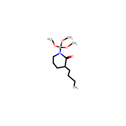 CCCCC1CCCN([Si](OC)(OC)OC)C1=O